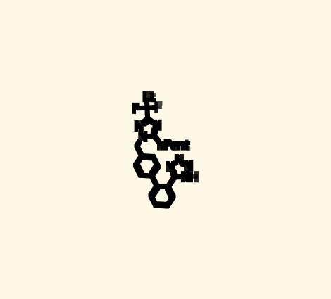 CCCCCc1nc(C(F)(F)CC)nn1Cc1ccc(-c2ccccc2-c2nnn[nH]2)cc1